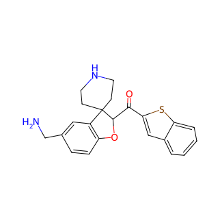 NCc1ccc2c(c1)C1(CCNCC1)C(C(=O)c1cc3ccccc3s1)O2